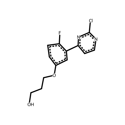 OCCCOc1ccc(F)c(-c2ccnc(Cl)n2)c1